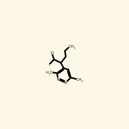 CCCC(c1cc(C)nnc1C)C(Cl)I